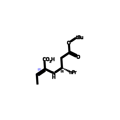 C/C=C(\N[C@@H](CCC)CC(=O)OC(C)(C)C)C(=O)O